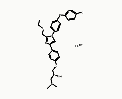 CCOCc1nc(-c2ccc(OC[C@@H](O)CN(C)C)cc2)cn1-c1ccc(Oc2ccc(Cl)cc2)cc1.Cl.Cl